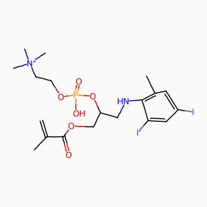 C=C(C)C(=O)OCC(CNc1c(C)cc(I)cc1I)OP(=O)(O)OCC[N+](C)(C)C